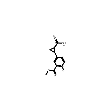 COC(=O)c1cc(C2CC2C(=O)O)ccc1F